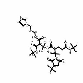 CC(C)(C)NC(=O)CCC(C(=O)NC(C)(C)C(C(=O)NCCCn1ccnc1)C(=O)NC(C)(C)C)C(C)(C)N1C(=O)CC(C(C)(C)C)C1=O